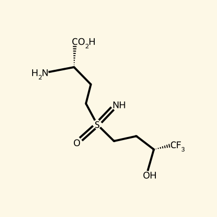 N=S(=O)(CC[C@@H](O)C(F)(F)F)CC[C@H](N)C(=O)O